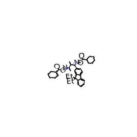 CCC1(CC)c2ccccc2-c2ccc(/C(=N\OC(=O)C3CCCCC3)C(C)/C(C)=N/OC(=O)C3CCCCC3)cc21